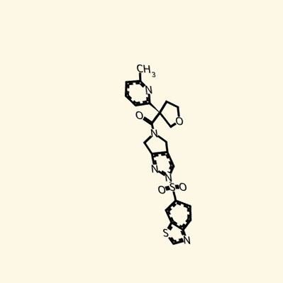 Cc1cccc([C@@]2(C(=O)N3Cc4cn(S(=O)(=O)c5ccc6ncsc6c5)nc4C3)CCOC2)n1